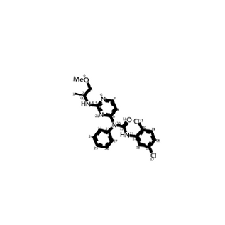 COC[C@H](C)Nc1nccc(N(C(=O)Nc2cc(Cl)ccc2Cl)c2ccccc2)n1